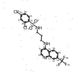 O=S(=O)(NCCCNc1ccnc2cc(C(F)(F)F)ccc12)c1ccc(Cl)cc1Cl